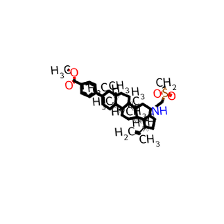 C=CS(=O)(=O)CCN[C@]12CC[C@@H](C(=C)C)[C@@H]1[C@H]1CC[C@@H]3[C@@]4(C)CC=C(c5ccc(C(=O)OC)cc5)C(C)(C)[C@@H]4CC[C@@]3(C)[C@]1(C)CC2